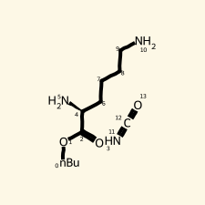 CCCCOC(=O)[C@@H](N)CCCCN.N=C=O